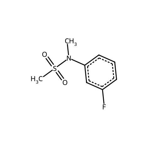 CN(c1cccc(F)c1)S(C)(=O)=O